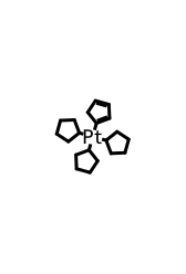 C1=CC[C]([Pt]([CH]2CCCC2)([CH]2CCCC2)[CH]2CCCC2)=C1